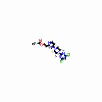 CCCC(=O)OCCc1nccc(N2C[C@@H](C)N(c3nc(Cl)nc(Cl)n3)[C@@H](C)C2)n1